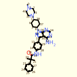 CN1CCN([C@H]2CC[C@@H](n3nc(-c4ccc(NC(=O)C(C)(C)c5ccccc5)cc4)c4c(N)ncnc43)CC2)CC1